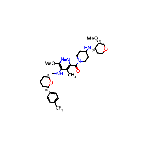 COc1nnc(C(=O)N2CCC(N[C@H]3CCOC[C@H]3OC)CC2)c(C)c1NC[C@H]1CCC[C@@H](c2ccc(C(F)(F)F)cc2)O1